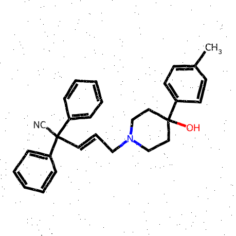 Cc1ccc(C2(O)CCN(C/C=C/C(C#N)(c3ccccc3)c3ccccc3)CC2)cc1